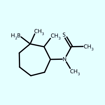 BC1(C)CCCCC(N(C)C(C)=S)C1C